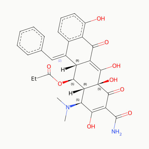 CCC(=O)O[C@@H]1[C@H]2[C@H](N(C)C)C(O)=C(C(N)=O)C(=O)[C@@]2(O)C(O)=C2C(=O)c3c(O)cccc3/C(=C\c3ccccc3)[C@H]21